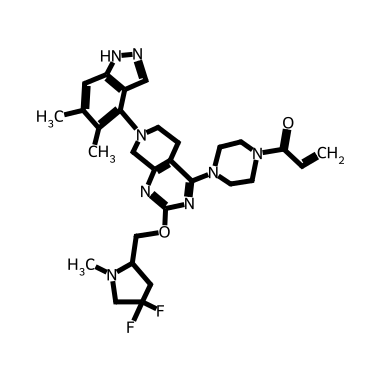 C=CC(=O)N1CCN(c2nc(OCC3CC(F)(F)CN3C)nc3c2CCN(c2c(C)c(C)cc4[nH]ncc24)C3)CC1